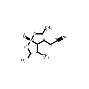 CCOP(=O)(OCC)C(CC)CCC#N